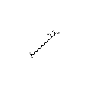 O=C(O)CCCCCCCCCCCC(O)CC(=O)O